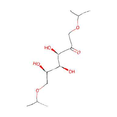 CC(C)OCC(=O)[C@H](O)[C@@H](O)[C@H](O)COC(C)C